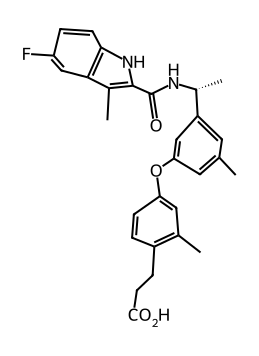 Cc1cc(Oc2ccc(CCC(=O)O)c(C)c2)cc([C@@H](C)NC(=O)c2[nH]c3ccc(F)cc3c2C)c1